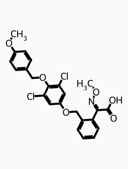 CON=C(C(=O)O)c1ccccc1COc1cc(Cl)c(OCc2ccc(OC)cc2)c(Cl)c1